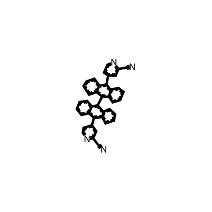 N#Cc1cc(-c2c3ccccc3c(-c3c4ccccc4c(-c4ccnc(C#N)c4)c4ccccc34)c3ccccc23)ccn1